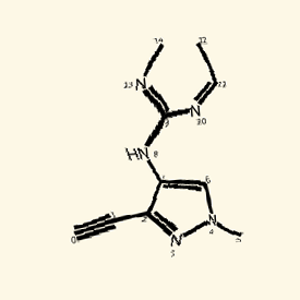 C#Cc1nn(C)cc1NC(/N=C\C)=N/C